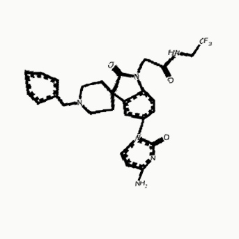 Nc1ccn(-c2ccc3c(c2)C2(CCN(Cc4ccccc4)CC2)C(=O)N3CC(=O)NCC(F)(F)F)c(=O)n1